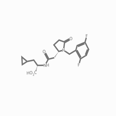 O=C(C[C@@H]1CCC(=O)N1Cc1cc(F)ccc1F)N[C@@H](CC1CC1)C(=O)O